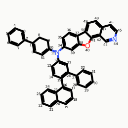 C1=C(c2ccccc2)CCC(N(c2ccc(-c3cccc4ccccc34)c(-c3ccccc3)c2)c2ccc3c(c2)oc2c4cnccc4ccc32)=C1